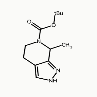 CC1c2n[nH]cc2CCN1C(=O)OC(C)(C)C